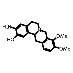 COc1ccc2c(c1OC)CN1CCc3cc(N)c(O)cc3C1C2